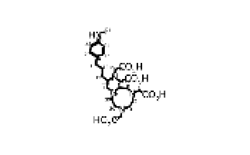 O=C(O)CN1CCN(CC(=O)O)CCN(CC(CCCc2ccc(NI)cc2)N(CC(=O)O)CC(=O)O)CC1